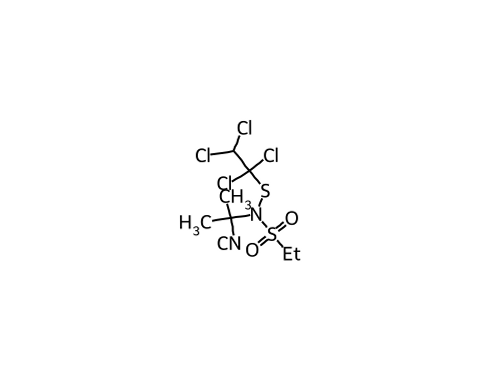 CCS(=O)(=O)N(SC(Cl)(Cl)C(Cl)Cl)C(C)(C)C#N